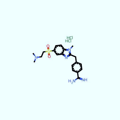 CN(C)CCS(=O)(=O)c1ccc2c(c1)nc(Cc1ccc(C(=N)N)cc1)n2C.Cl.Cl